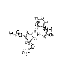 COc1ccc(CN2CC(=O)Nc3cccnc3C2)c(OC)c1